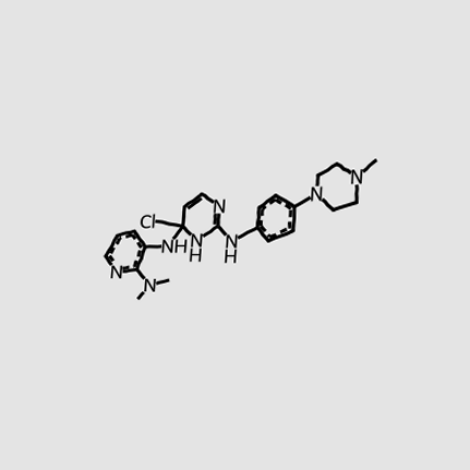 CN1CCN(c2ccc(NC3=NC=CC(Cl)(Nc4cccnc4N(C)C)N3)cc2)CC1